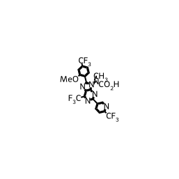 COc1cc(C(F)(F)F)ccc1-c1nc2c(C(F)(F)F)nc(-c3ccc(C(F)(F)F)nc3)nc2n1N(C)C(=O)O